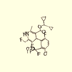 COC(=O)C1=C(CF)NC(C)=C(C(=O)OC(C2CC2)C2CC2)C1c1c(F)ccc(Cl)c1C(F)(F)F